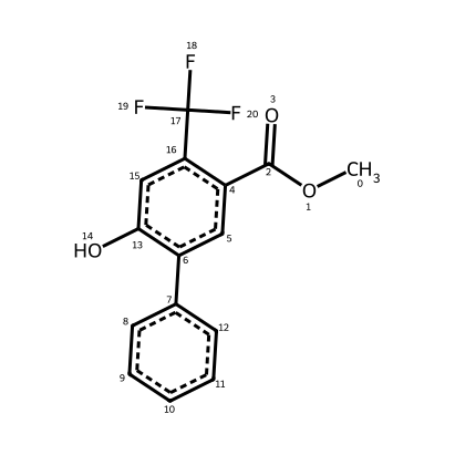 COC(=O)c1cc(-c2ccccc2)c(O)cc1C(F)(F)F